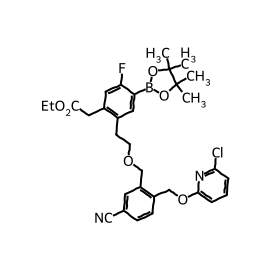 CCOC(=O)Cc1cc(F)c(B2OC(C)(C)C(C)(C)O2)cc1CCOCc1cc(C#N)ccc1COc1cccc(Cl)n1